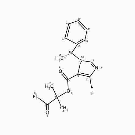 CCC(=O)C(C)(C)OC(=O)c1c(F)ncn1[C@H](C)c1ccccc1